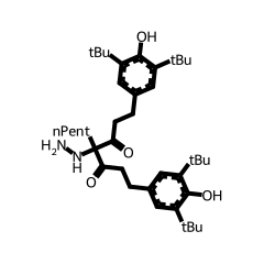 CCCCCC(NN)(C(=O)CCc1cc(C(C)(C)C)c(O)c(C(C)(C)C)c1)C(=O)CCc1cc(C(C)(C)C)c(O)c(C(C)(C)C)c1